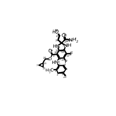 Cc1cc(I)ccc1Nc1c(F)c(F)c2c(c1C(=O)OCC1CC1)NC(CCO)(C(N)=O)N2